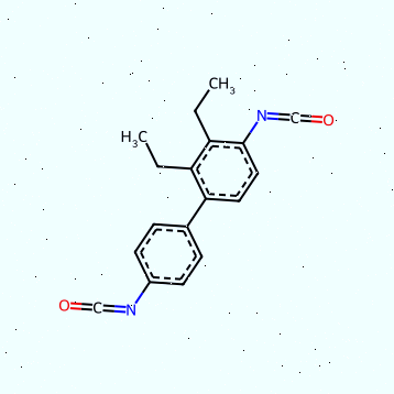 CCc1c(N=C=O)ccc(-c2ccc(N=C=O)cc2)c1CC